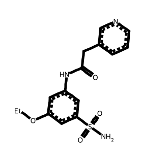 CCOc1cc(NC(=O)Cc2cccnc2)cc(S(N)(=O)=O)c1